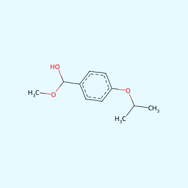 COC(O)c1ccc(OC(C)C)cc1